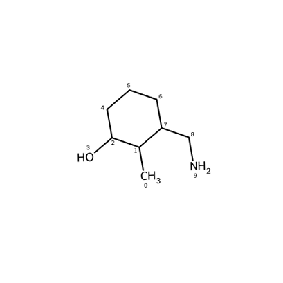 CC1C(O)CCCC1CN